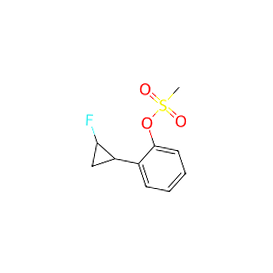 CS(=O)(=O)Oc1ccccc1C1CC1F